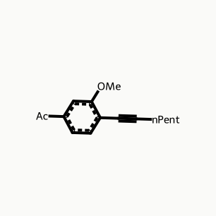 CCCCCC#Cc1ccc(C(C)=O)cc1OC